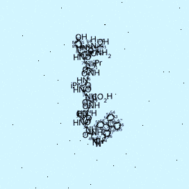 CC(C)C[C@H](NC(=O)CNC(=O)C(NC(=O)CNC(=O)[C@H](CC(=O)O)NC(=O)CNC(=O)[C@H](CC(=O)O)NC(=O)CNC(=O)C(N)Cc1cn(Cc2ccc(C(=C(c3ccccc3)c3ccccc3)c3ccccc3)cc2)nn1)C(C)C)C(=O)NCC(=O)N[C@@H](Cc1ccc(O)cc1)C(=O)N[C@@H](C)C(=O)NC(C(N)=O)C(C)O